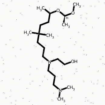 CO[C@@H](C)OC(C)CCC(C)(C)CCCN(CCO)CCCN(C)C